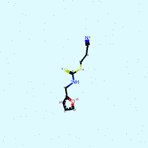 N#CCCSC(=S)NCc1ccco1